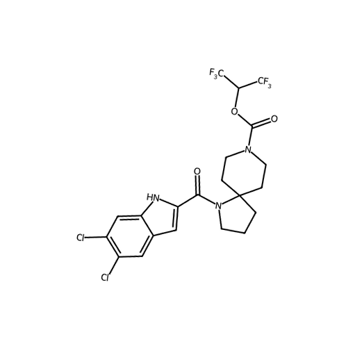 O=C(OC(C(F)(F)F)C(F)(F)F)N1CCC2(CCCN2C(=O)c2cc3cc(Cl)c(Cl)cc3[nH]2)CC1